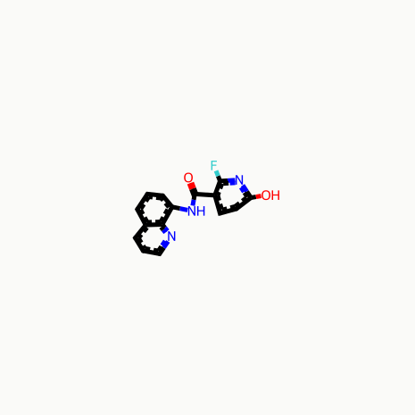 O=C(Nc1cccc2cccnc12)c1ccc(O)nc1F